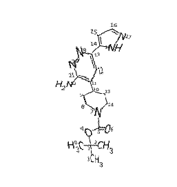 CC(C)(C)OC(=O)N1CCC(c2cc(-c3ccn[nH]3)nnc2N)CC1